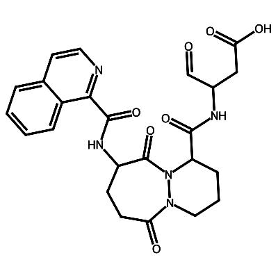 O=CC(CC(=O)O)NC(=O)C1CCCN2C(=O)CCC(NC(=O)c3nccc4ccccc34)C(=O)N12